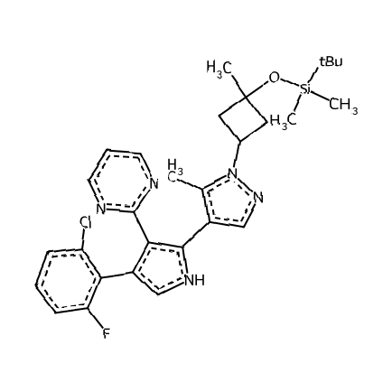 Cc1c(-c2[nH]cc(-c3c(F)cccc3Cl)c2-c2ncccn2)cnn1C1CC(C)(O[Si](C)(C)C(C)(C)C)C1